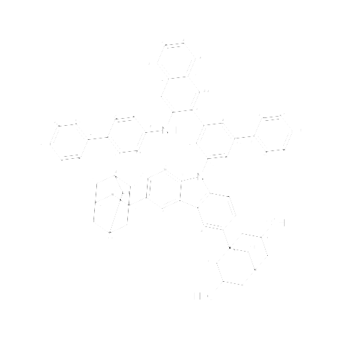 CC1CC2CC(C)CC(c3ccc4c(c3)c3cc(C56CC7CC(CC(C7)C5)C6)ccc3n4-c3cc(-c4ccccc4)cc(-c4cc5ccccc5cc4Nc4ccc(-c5ccccc5)cc4)c3)(C1)C2